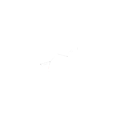 C=CCC1=CO1